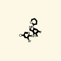 Cc1c(F)cc2c(cnn2C2CCCCO2)c1Nc1ncc(Cl)cc1Br